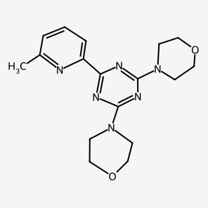 Cc1cccc(-c2nc(N3CCOCC3)nc(N3CCOCC3)n2)n1